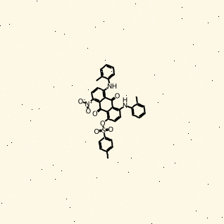 Cc1ccc(S(=O)(=O)Oc2ccc(Nc3ccccc3C)c3c2C(=O)c2c([N+](=O)[O-])ccc(Nc4ccccc4C)c2C3=O)cc1